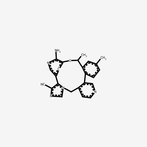 Cc1ccc2c(c1)C(C)Oc1cc(cnc1N)-c1c(C#N)ncn1Cc1ccncc1-2